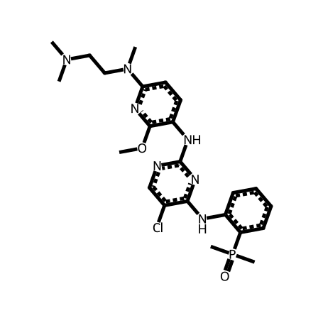 COc1nc(N(C)CCN(C)C)ccc1Nc1ncc(Cl)c(Nc2ccccc2P(C)(C)=O)n1